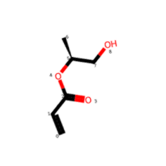 C=CC(=O)O[C@@H](C)CO